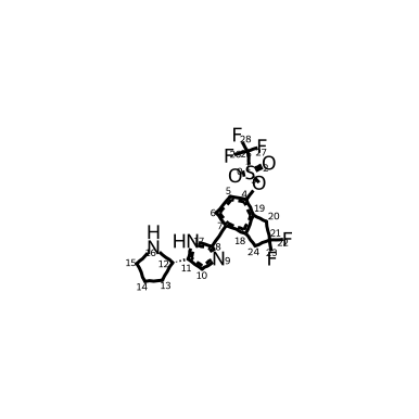 O=S(=O)(Oc1ccc(-c2ncc([C@@H]3CCCN3)[nH]2)c2c1CC(F)(F)C2)C(F)(F)F